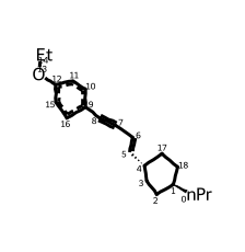 CCC[C@H]1CC[C@H](C=CC#Cc2ccc(OCC)cc2)CC1